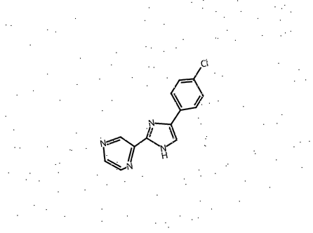 Clc1ccc(-c2c[nH]c(-c3cnccn3)n2)cc1